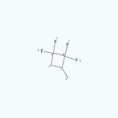 [CH2]C1CC(F)(F)C1(F)F